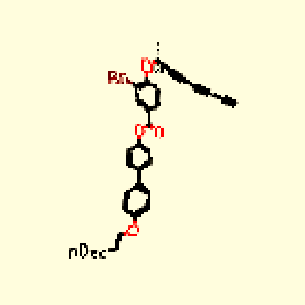 C#CC#CC#C[C@@H](C)Oc1ccc(C(=O)Oc2ccc(-c3ccc(OCCCCCCCCCCCC)cc3)cc2)cc1Br